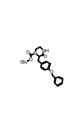 CC(C)(C)OC(=O)N1CCNC(=O)C1Cc1ccc(OCc2ccccc2)cc1